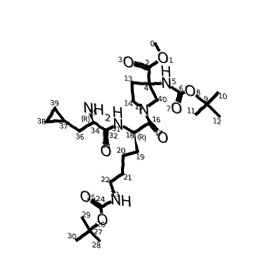 COC(=O)C1(NC(=O)OC(C)(C)C)CCN(C(=O)[C@@H](CCCCNC(=O)OC(C)(C)C)NC(=O)[C@H](N)CC2CC2)C1